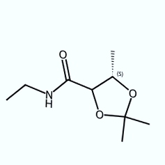 CCNC(=O)C1OC(C)(C)O[C@H]1C